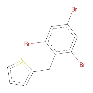 Brc1cc(Br)c(Cc2cccs2)c(Br)c1